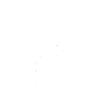 CCCCCCC(O)(CCCCCC)c1cccnc1.O=S(=O)(O)O